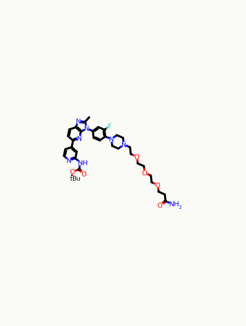 Cc1nc2ccc(-c3ccnc(NC(=O)OC(C)(C)C)c3)nc2n1-c1ccc(N2CCN(CCOCCOCCOCCC(N)=O)CC2)c(F)c1